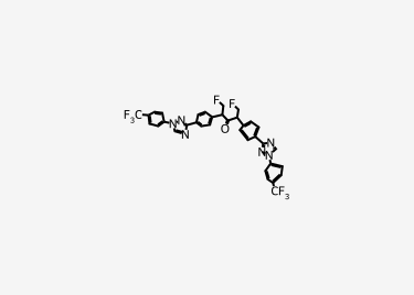 O=C(C(CF)c1ccc(-c2ncn(-c3ccc(C(F)(F)F)cc3)n2)cc1)C(CF)c1ccc(-c2ncn(-c3ccc(C(F)(F)F)cc3)n2)cc1